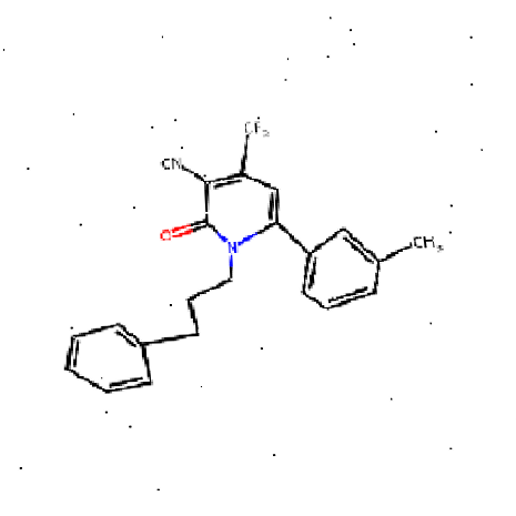 [C-]#[N+]c1c(C(F)(F)F)cc(-c2cccc(C)c2)n(CCCc2ccccc2)c1=O